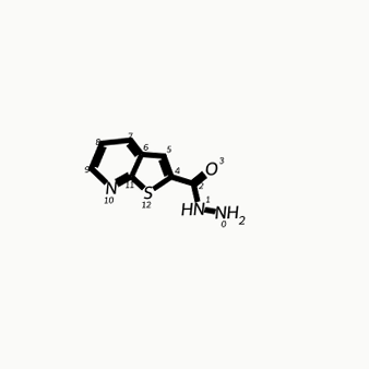 NNC(=O)c1cc2cccnc2s1